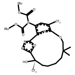 CC1(C)CCCC[C@](O)(C(F)(F)F)c2nnc(o2)-c2nc(c(C(F)(F)F)cc2N(C(=O)OC(C)(C)C)C(=O)OC(C)(C)C)OC1